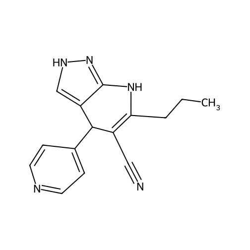 CCCC1=C(C#N)C(c2ccncc2)c2c[nH]nc2N1